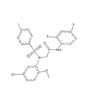 COc1ccc(Cl)cc1N(CC(=O)Nc1ccc(F)cc1F)S(=O)(=O)c1ccc(C)cc1